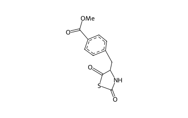 COC(=O)c1ccc(CC2NC(=O)SC2=O)cc1